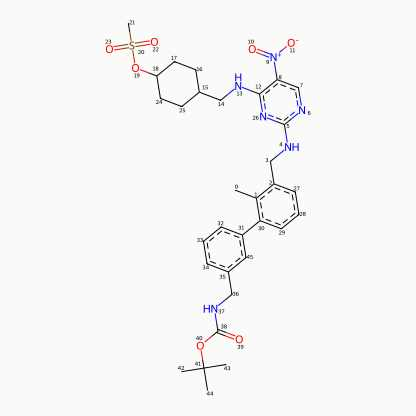 Cc1c(CNc2ncc([N+](=O)[O-])c(NCC3CCC(OS(C)(=O)=O)CC3)n2)cccc1-c1cccc(CNC(=O)OC(C)(C)C)c1